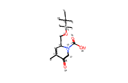 CC1=CC(CO[Si](C)(C)C(C)(C)C)N(C(=O)O)CC1=O